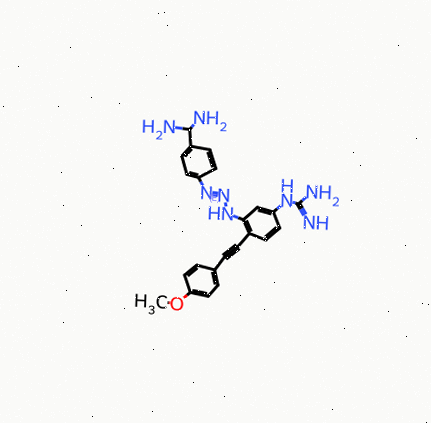 COc1ccc(C#Cc2ccc(NC(=N)N)cc2N/N=N/c2ccc(C(N)N)cc2)cc1